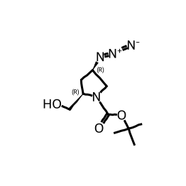 CC(C)(C)OC(=O)N1C[C@H](N=[N+]=[N-])C[C@@H]1CO